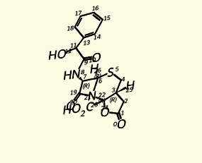 O=C1C[C@H]2CS[C@@H]3[C@H](NC(=O)C(O)c4ccccc4)C(=O)N3[C@@]2(C(=O)O)O1